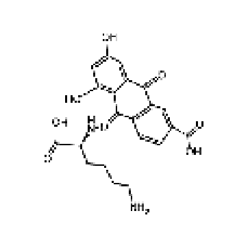 NCCCC[C@H](N)C(=O)O.O=C(O)c1ccc2c(c1)C(=O)c1cc(O)cc(O)c1C2=O